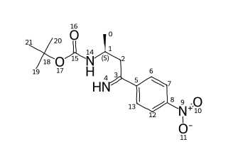 C[C@@H](CC(=N)c1ccc([N+](=O)[O-])cc1)NC(=O)OC(C)(C)C